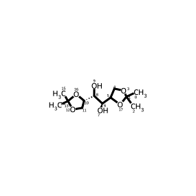 CC1(C)OCC([C@@H](O)C(O)[C@@H]2COC(C)(C)O2)O1